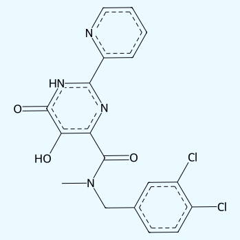 CN(Cc1ccc(Cl)c(Cl)c1)C(=O)c1nc(-c2ccccn2)[nH]c(=O)c1O